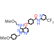 COCCNc1nn(Cc2ccc(OC)cc2)c2nccc(Oc3ccc(C(=O)Nc4cc(C(F)(F)F)ccn4)cc3)c12